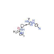 CN[C@@H](C)C(=O)N[C@H]1CCCC(C#Cc2cnc(Nc3ccc(C#N)cc3)nc2NC2CC2)C1